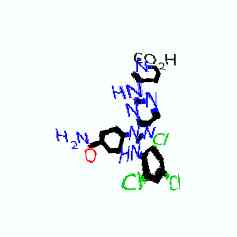 NC(=O)C1CCC(n2c(Nc3c(Cl)cc(Cl)cc3Cl)nc3cnc(NC4CCCN(C(=O)O)C4)nc32)CC1